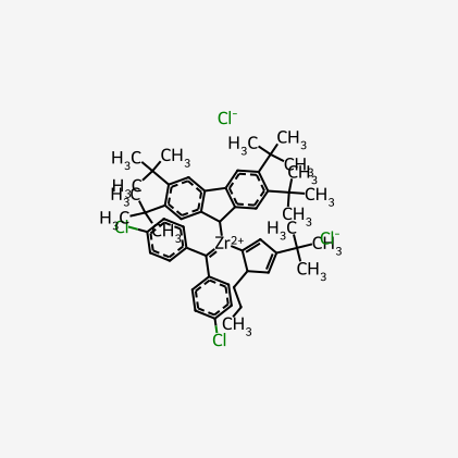 CCCC1C=C(C(C)(C)C)C=[C]1[Zr+2](=[C](c1ccc(Cl)cc1)c1ccc(Cl)cc1)[CH]1c2cc(C(C)(C)C)c(C(C)(C)C)cc2-c2cc(C(C)(C)C)c(C(C)(C)C)cc21.[Cl-].[Cl-]